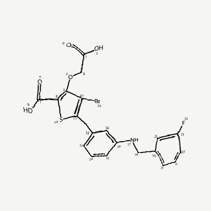 O=C(O)COc1c(C(=O)O)sc(-c2cccc(NCc3cccc(F)c3)c2)c1Br